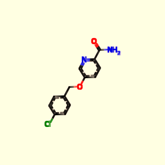 NC(=O)c1ccc(OCc2ccc(Cl)cc2)cn1